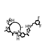 C=C1/N=C2\Nc3ccc(C(=C)N4CC(NCCc5cc(F)cc(F)c5)C4)cc3N2C[C@H](C)CCCC/C=C(/C=N\NC)c2cc1cc(C)n2